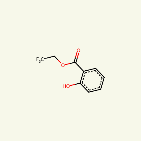 O=C(OCC(F)(F)F)c1ccccc1O